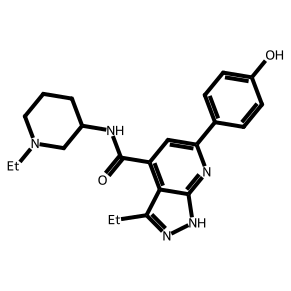 CCc1n[nH]c2nc(-c3ccc(O)cc3)cc(C(=O)NC3CCCN(CC)C3)c12